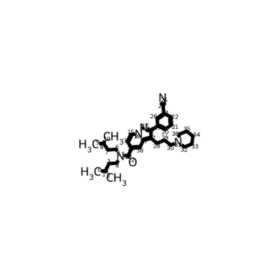 CC(C)CCN(CCC(C)C)C(=O)c1ccn2nc(-c3cccc(C#N)c3)c(CCCN3CCCCC3)c2c1